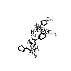 COc1ccc(-c2sc(N[C@@H](C)CC3CCCCC3)nc2C)cc1S(=O)(=O)Nc1ccc(O)cc1